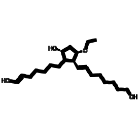 CCO[C@H]1C[C@@H](O)C(CCCCCC=CO)[C@@H]1/C=C/CCCCCCO